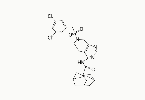 O=C(Nc1ncnc2c1CCN(S(=O)(=O)Cc1cc(Cl)cc(Cl)c1)C2)C12CC3CC(CC(C3)C1)C2